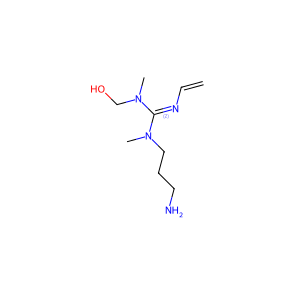 C=C/N=C(\N(C)CO)N(C)CCCN